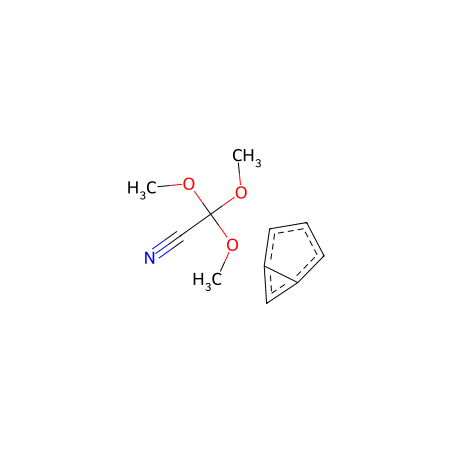 COC(C#N)(OC)OC.c1cc2cc-2c1